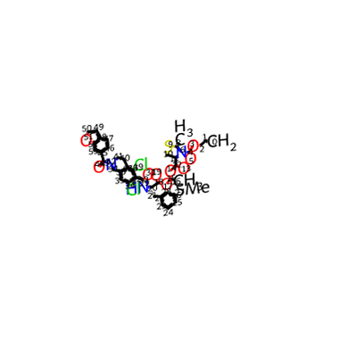 C=CCOC(=O)N1C(C)SCC1C(=O)OC(C)OC(=O)[C@H](Cc1cccc(SC)c1)NC(=O)c1c(Cl)cc2c(c1Cl)CCN(C(=O)c1ccc3ccoc3c1)C2